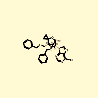 Nc1ncnc2c1ncn2[C@@H]1O[C@]2(COCc3ccccc3)[C@H](OCc3ccccc3)[C@@H]1OC21CC1